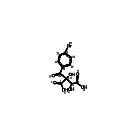 O=C(O)[C@@H](O)[C@](O)(C(=O)O)C(=O)c1ccc(Br)cc1